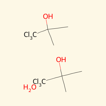 CC(C)(O)C(Cl)(Cl)Cl.CC(C)(O)C(Cl)(Cl)Cl.O